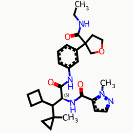 CCNC(=O)C1(c2cccc(NC(=O)[C@@H](NC(=O)c3ccnn3C)C(C3CCC3)C3(C)CC3)c2)CCOC1